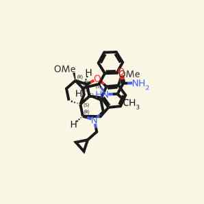 COc1ccc2c3c1O[C@H]1[C@@]4(OC)CC[C@@]5(C[C@@H]4[C@H](NC(C)C(N)=O)c4ccccc4)[C@@H](C2)N(CC2CC2)CC[C@]315